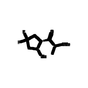 CON(C)C(=O)[C@H]1CC(F)(F)CN1C(C)(C)C